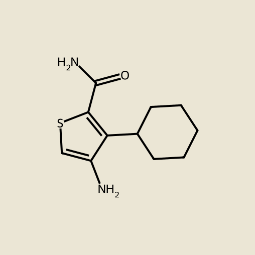 NC(=O)c1scc(N)c1C1CCCCC1